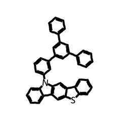 c1ccc(-c2cc(-c3ccccc3)cc(-c3cccc(-n4c5ccccc5c5cc6sc7ccccc7c6cc54)c3)c2)cc1